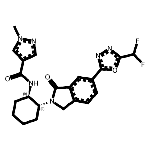 Cn1cc(C(=O)N[C@@H]2CCCC[C@H]2N2Cc3ccc(-c4nnc(C(F)F)o4)cc3C2=O)cn1